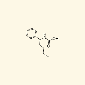 [CH2]CCCC(NC(=O)O)c1ccccc1